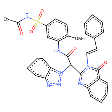 CCC(=O)NS(=O)(=O)c1ccc(OC)c(NC(=O)C(c2nc3ccccc3c(=O)n2/C=C/c2ccccc2)n2nnc3ccccc32)c1